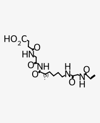 C=CC(=O)NCC(=O)NCCCC[C@H](C)C(=O)NC(=O)CNC(=O)CCC(=O)O